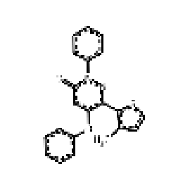 Cc1ccsc1-c1nn(-c2ccccc2)c(=O)cc1Oc1ccccc1